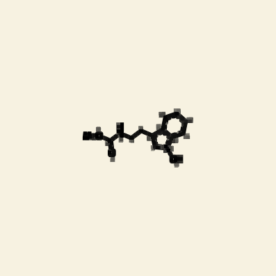 COC(=O)NCCc1cn(O)c2ccccc12